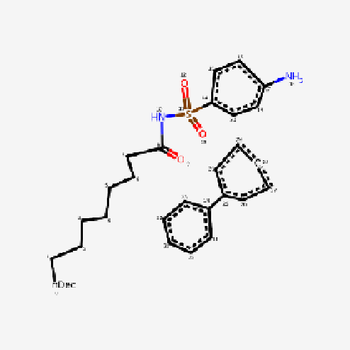 CCCCCCCCCCCCCCCCCC(=O)NS(=O)(=O)c1ccc(N)cc1.c1ccc(-c2ccccc2)cc1